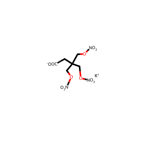 O=C([O-])CC(CO[N+](=O)[O-])(CO[N+](=O)[O-])CO[N+](=O)[O-].[K+]